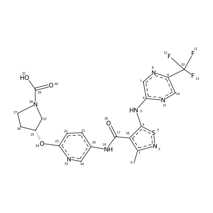 Cc1nsc(Nc2cnc(C(F)(F)F)cn2)c1C(=O)Nc1ccc(O[C@@H]2CCN(C(=O)O)C2)nc1